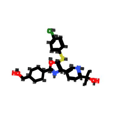 CC(C)(O)c1ccc(-c2nc(C3CCC(CO)CC3)oc2Sc2ccc(Cl)cc2)cn1